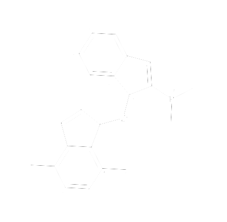 Cc1ccc(C)c2c1C=C[CH]2[Zr][CH]1C(P(C)C)=Cc2ccccc21